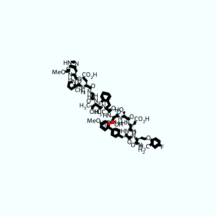 CCc1cc(OC)ccc1-c1ccc(C[C@H](NC(=O)[C@H](CC(=O)O)NC(=O)[C@H](CO)NC(=O)[C@@H](NC(=O)C(C)(Cc2ccccc2F)NC(=O)[C@@H](NC(=O)CNC(=O)[C@H](CCC(=O)O)NC(=O)C2(C)CCCN2C(=O)[C@H](Cc2c[nH]cn2)NC(=O)OC)[C@@H](C)O)[C@@H](C)O)C(=O)N[C@@H](CCOc2ccc(F)cc2C)C(N)=O)cc1